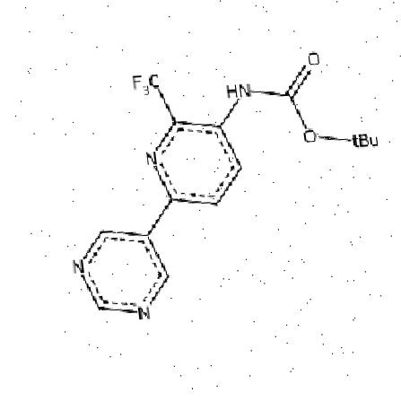 CC(C)(C)OC(=O)Nc1ccc(-c2cncnc2)nc1C(F)(F)F